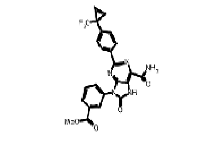 COC(=O)c1cccc(-n2c(=O)[nH]c3c(C(N)=O)nc(-c4ccc(C5(C(F)(F)F)C=C5)cc4)nc32)c1